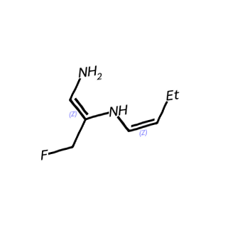 CC/C=C\N/C(=C\N)CF